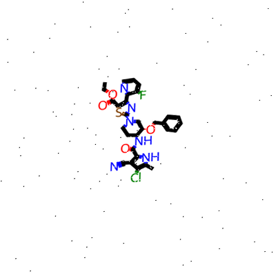 CCOC(=O)c1sc(N2CC[C@@H](NC(=O)c3[nH]c(C)c(Cl)c3C#N)[C@@H](OCc3ccccc3)C2)nc1-c1ncccc1F